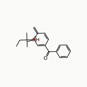 C=C(/C=C\C(=C/C(C)C(C)(C)CC)C(=O)c1ccccc1)NC